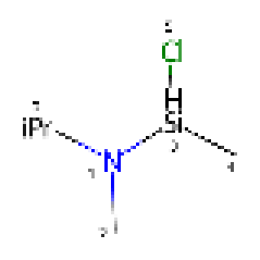 CC(C)N(C)[SiH](C)Cl